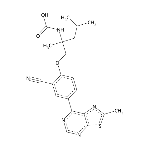 Cc1nc2c(-c3ccc(OCC(C)(CC(C)C)NC(=O)O)c(C#N)c3)ncnc2s1